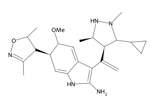 C=C(c1c(N)[nH]c2c1=CC(OC)[C@H](C1C(C)=NOC1C)C=2)[C@@H]1C(C2CC2)N(C)N[C@@H]1C